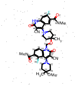 CNC(=O)c1cc2c(N3CCC(C)(OCn4c(=O)c(C#N)c(N5CCC(C)(OC)CC5)c5c(F)c(C(=O)NC)ccc54)CC3)c(C#N)c(=O)[nH]c2cc1F